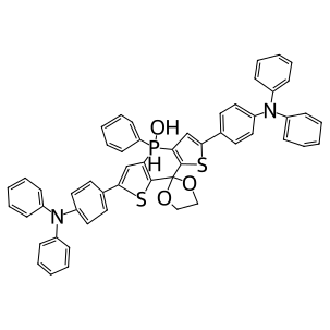 O[PH]1(c2ccccc2)c2cc(-c3ccc(N(c4ccccc4)c4ccccc4)cc3)sc2C2(OCCO2)c2sc(-c3ccc(N(c4ccccc4)c4ccccc4)cc3)cc21